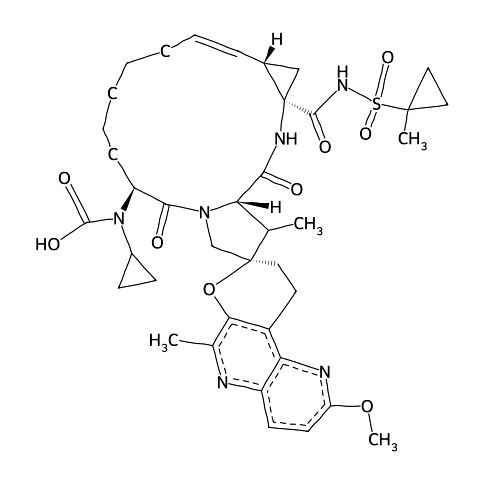 COc1ccc2nc(C)c3c(c2n1)CC[C@@]1(CN2C(=O)[C@@H](N(C(=O)O)C4CC4)CCCCC/C=C\[C@@H]4C[C@@]4(C(=O)NS(=O)(=O)C4(C)CC4)NC(=O)[C@@H]2C1C)O3